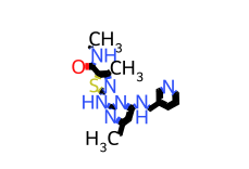 CCNC(=O)c1sc(Nc2nc(CC)cc(NCc3cccnc3)n2)nc1C